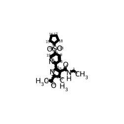 CCNC(=O)C1=C(c2ccc(S(=O)(=O)C3CCCC3)cn2)N=C(C(C)=O)C1C